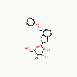 OC[C@H]1O[C@@H](C2Cc3cccc(COc4ccccc4)c3S2)[C@H](O)[C@@H](O)[C@@H]1O